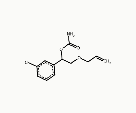 C=CCOCC(OC(N)=O)c1cccc(Cl)c1